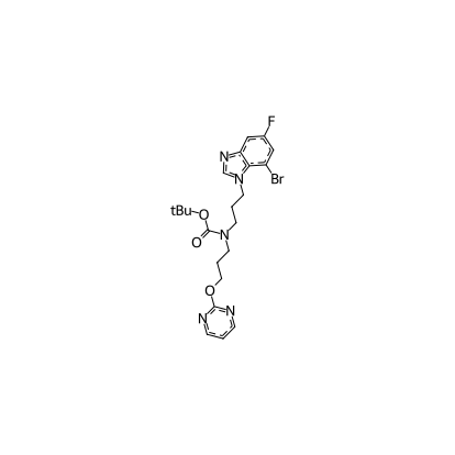 CC(C)(C)OC(=O)N(CCCOc1ncccn1)CCCn1cnc2cc(F)cc(Br)c21